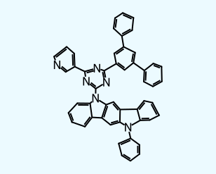 c1ccc(-c2cc(-c3ccccc3)cc(-c3nc(-c4cccnc4)nc(-n4c5ccccc5c5cc6c(cc54)c4ccccc4n6-c4ccccc4)n3)c2)cc1